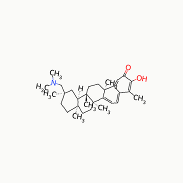 CC1=C(O)C(=O)C=C2C1=CC=C1[C@@]2(C)CC[C@@]2(C)[C@@H]3C[C@](C)(CN(C)C)CC[C@]3(C)CC[C@]12C